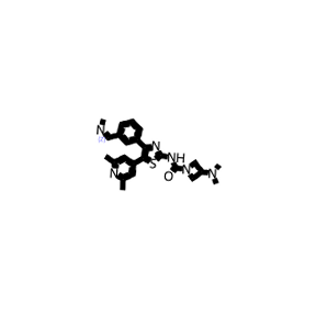 C/N=C\c1cccc(-c2nc(NC(=O)N3CC(N(C)C)C3)sc2-c2cc(C)nc(C)c2)c1